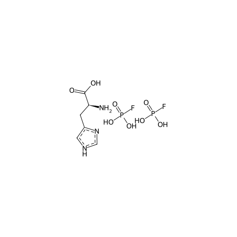 N[C@@H](Cc1c[nH]cn1)C(=O)O.O=P(O)(O)F.O=P(O)(O)F